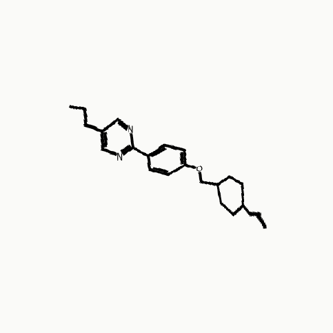 CCCc1cnc(-c2ccc(OCC3CCC(CC)CC3)cc2)nc1